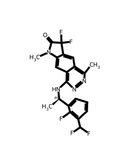 Cc1nnc(N[C@H](C)c2cccc(C(F)F)c2F)c2cc3c(cc12)C(F)(F)C(=O)N3C